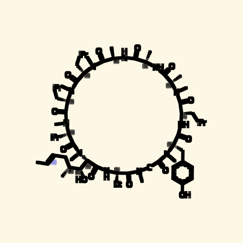 C/C=C/C[C@@H](C)[C@@H](O)[C@H]1C(=O)N[C@@H](CC)C(=O)N(C)CC(=O)N(C)[C@@H](Cc2ccc(O)cc2)C(=O)N[C@@H](CC(C)C)C(=O)N(C)[C@@H](C)C(=O)N[C@@H](C)C(=O)N[C@H](C)C(=O)N(C)[C@@H](CC(C)C)C(=O)N(C)[C@@H](CC(C)C)C(=O)N(C)[C@@H](C(C)C)C(=O)N1C